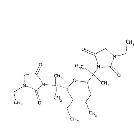 CCCC(OC(CCC)C(C)(C)N1C(=O)CN(CC)C1=O)C(C)(C)N1C(=O)CN(CC)C1=O